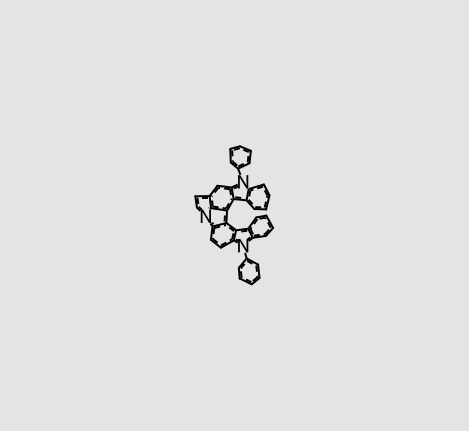 c1ccc(-n2c3ccccc3c3c4c5c6c7ccccc7n(-c7ccccc7)c6cc6ccn(c4ccc32)c65)cc1